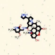 COc1cc(C)[nH]c(=O)c1CNC(=O)c1cc2c(-c3ccn[nH]3)ccn2c(C(C)c2cc(O)c3c4c2C[C@@H]2[C@@H]5C=C[C@H](O)[C@H](O3)[C@]45CCN2C)c1C